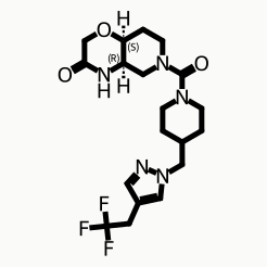 O=C1CO[C@H]2CCN(C(=O)N3CCC(Cn4cc(CC(F)(F)F)cn4)CC3)C[C@H]2N1